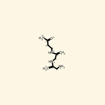 C=C(CN)NCC(=C)NCCC(N)=O